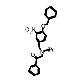 CC(C)N(CC(=O)c1ccccc1)Cc1ccc(OCc2ccccc2)c([N+](=O)[O-])c1